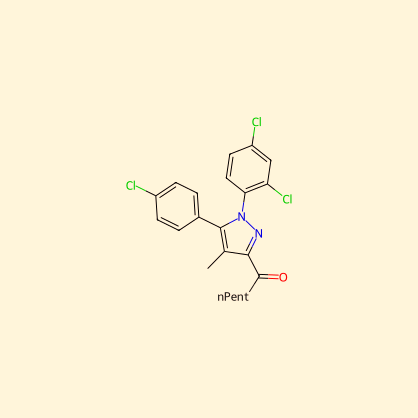 CCCCCC(=O)c1nn(-c2ccc(Cl)cc2Cl)c(-c2ccc(Cl)cc2)c1C